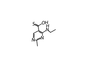 CCNc1nc(C)ncc1C(O)=S